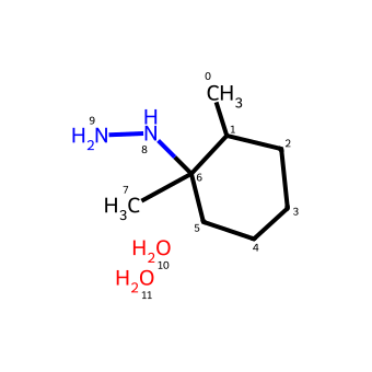 CC1CCCCC1(C)NN.O.O